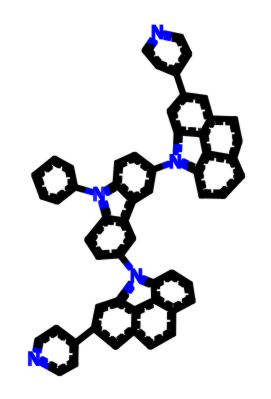 c1ccc(-n2c3ccc(-n4c5cccc6ccc7cc(-c8ccncc8)cc4c7c65)cc3c3cc(-n4c5cccc6ccc7cc(-c8ccncc8)cc4c7c65)ccc32)cc1